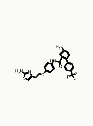 Cc1ccc(-c2ccc(C(F)(F)F)cc2)c(C(=O)Nc2ccc(OCCc3csc(N)n3)cc2)c1